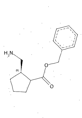 NC[C@@H]1CCCC1C(=O)OCc1ccccc1